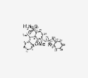 C=CC(c1ccccc1OC)c1cc(CC2(C)N=c3ccccc3=N2)ccc1S(N)(=O)=O